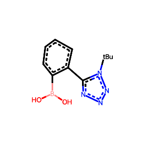 CC(C)(C)n1nnnc1-c1ccccc1B(O)O